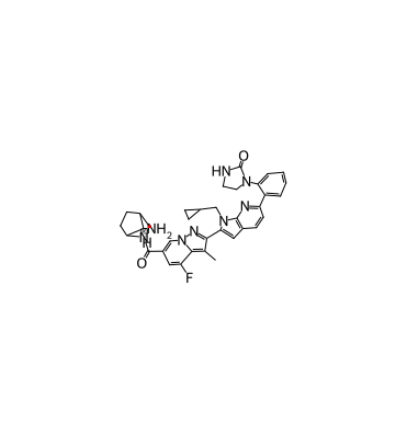 Cc1c(-c2cc3ccc(-c4ccccc4N4CCNC4=O)nc3n2CC2CC2)nn2cc(C(=O)N3CC4CCC3[C@@H]4N)cc(F)c12